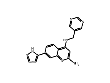 Nc1nc(NCc2cncnc2)c2ccc(-c3ccn[nH]3)cc2n1